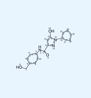 O=C(Nc1ccc(CO)cc1)c1cc(O)n(-c2ccccc2)n1